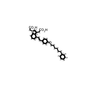 O=C(O)Cc1cn(CC(=O)O)c2cccc(/C=C/c3ccc(OCCCCCCc4ccccc4)cc3)c12